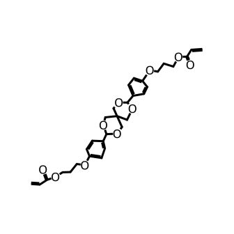 C=CC(=O)OCCCOc1ccc(C2OCC3(CO2)COC(c2ccc(OCCCOC(=O)C=C)cc2)OC3)cc1